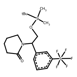 CC(C)(C)[Si](C)(C)OCC(c1cccc(S(F)(F)(F)(F)F)c1)N1CCCCC1=O